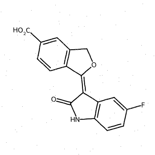 O=C1Nc2ccc(F)cc2C1=C1OCc2cc(C(=O)O)ccc21